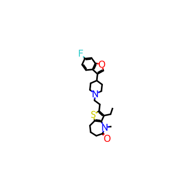 CCc1c(CCN2CCC(c3coc4cc(F)ccc34)CC2)sc2c1N(C)C(=O)CCC2